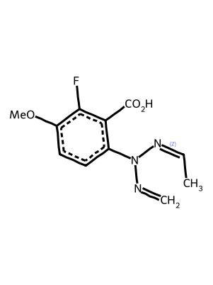 C=NN(/N=C\C)c1ccc(OC)c(F)c1C(=O)O